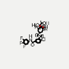 C[C@@H](O)[C@H](O)[C@@]1(O)[C@H]2C[C@@H](S(=O)(=O)c3cc(C(=O)Nc4cc(F)c(F)c(F)c4)ccc3Cl)C[C@@H]1[C@@H](C)C2